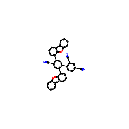 N#Cc1ccc(-c2cc(-c3cccc4c3oc3ccccc34)c(C#N)cc2-c2cccc3c2oc2ccccc23)c(C#N)c1